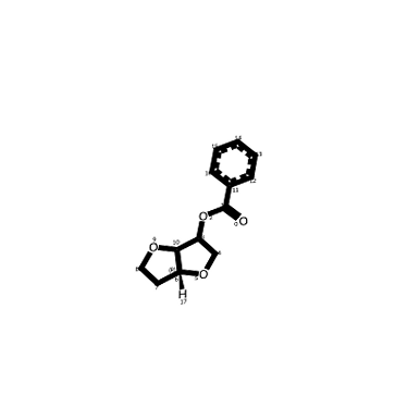 O=C(OC1CO[C@@H]2CCOC12)c1ccccc1